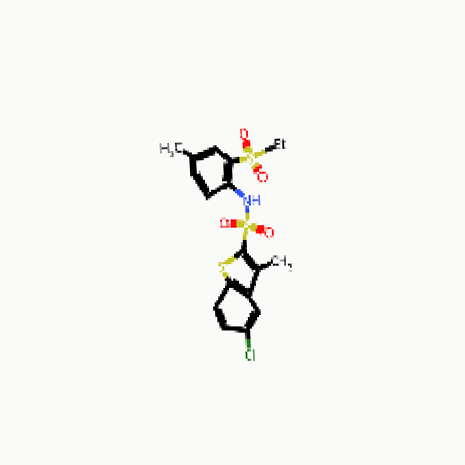 CCS(=O)(=O)c1cc(C)ccc1NS(=O)(=O)c1sc2ccc(Cl)cc2c1C